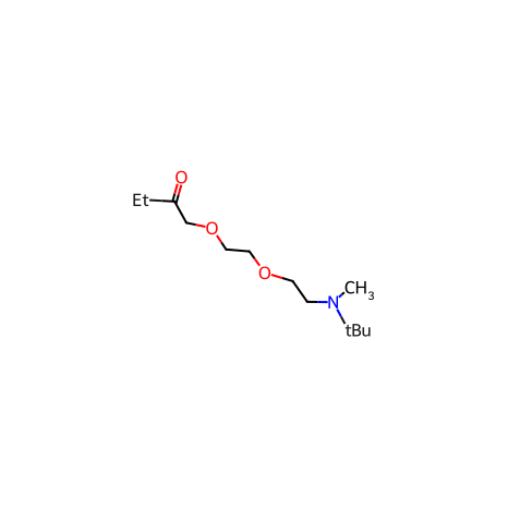 CCC(=O)COCCOCCN(C)C(C)(C)C